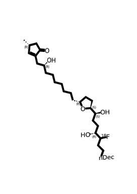 CCCCCCCCCCCCC([18F])[C@H](O)CC[C@H](O)[C@@H]1CC[C@@H](CCCCCCC[C@@H](O)CC2=C[C@H](C)CC2=O)O1